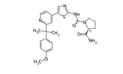 COc1ccc(C(C)(C)c2cc(-c3cnc(NC(=O)N4CCC[C@H]4C(N)=O)s3)ccn2)cc1